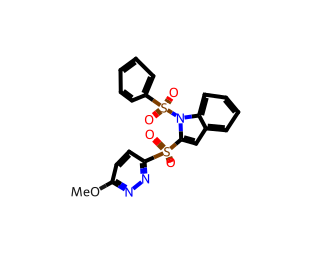 COc1ccc(S(=O)(=O)c2cc3ccccc3n2S(=O)(=O)c2ccccc2)nn1